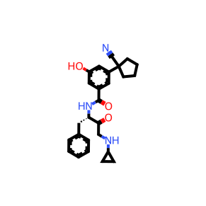 N#CC1(c2cc(O)cc(C(=O)N[C@@H](Cc3ccccc3)C(=O)CNC3CC3)c2)CCCC1